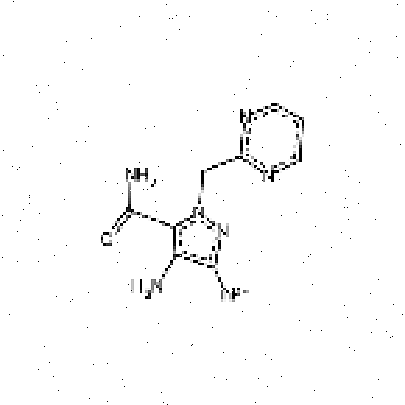 CCCc1nn(Cc2ncccn2)c(C(N)=O)c1N